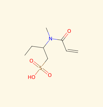 C=CC(=O)N(C)C(CC)CS(=O)(=O)O